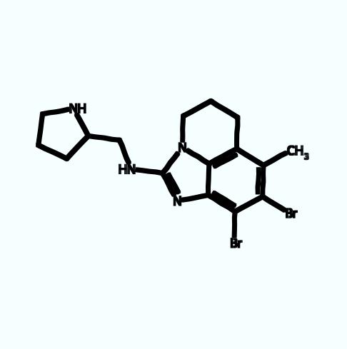 Cc1c(Br)c(Br)c2nc(NCC3CCCN3)n3c2c1CCC3